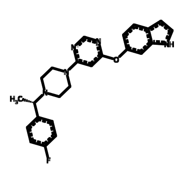 C[C@@H](c1ccc(F)cc1)N1CCN(c2cc(Oc3ccc4cc[nH]c4c3)ncn2)CC1